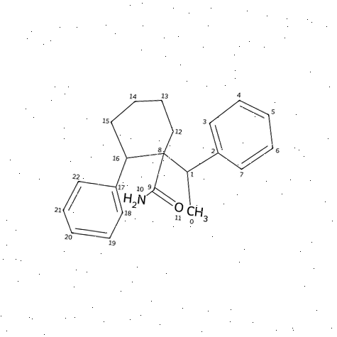 CC(c1ccccc1)C1(C(N)=O)CCCCC1c1ccccc1